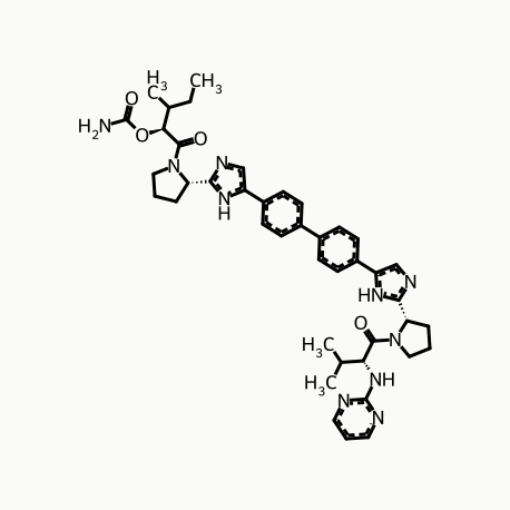 CCC(C)[C@H](OC(N)=O)C(=O)N1CCC[C@H]1c1ncc(-c2ccc(-c3ccc(-c4cnc([C@@H]5CCCN5C(=O)[C@H](Nc5ncccn5)C(C)C)[nH]4)cc3)cc2)[nH]1